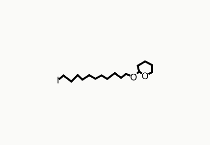 ICCCCCCCCCCCOC1CCCCO1